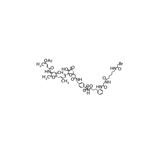 CC(=O)O[C@@H](C)C=CC(=O)N[C@@H]1C[C@H](C)[C@H](CC=C(C)C=C[C@H]2O[C@H](CC(=O)NCc3ccc(S(=O)(=O)NC(=O)CCc4ccccc4NC(=O)CNC(=O)CCCCCNC(=O)CBr)cc3)C[C@@]3(CO3)[C@@H]2O)O[C@@H]1C